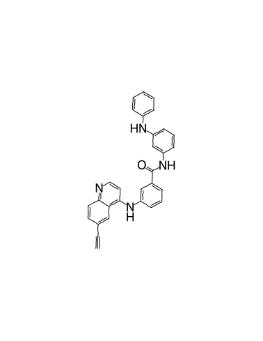 C#Cc1ccc2nccc(Nc3cccc(C(=O)Nc4cccc(Nc5ccccc5)c4)c3)c2c1